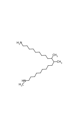 CNCCCCCCCCCC(C)C(C)CCCCCCCCCN